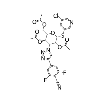 CC(=O)OCC1O[C@H](Sc2cncc(Cl)c2)C(OC(C)=O)C(n2cc(-c3cc(F)c(C#N)c(F)c3)nn2)[C@H]1OC(C)=O